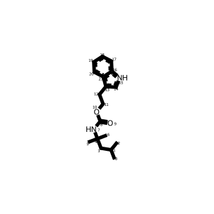 CC(C)CC(C)(C)NC(=O)OCCc1c[nH]c2ccccc12